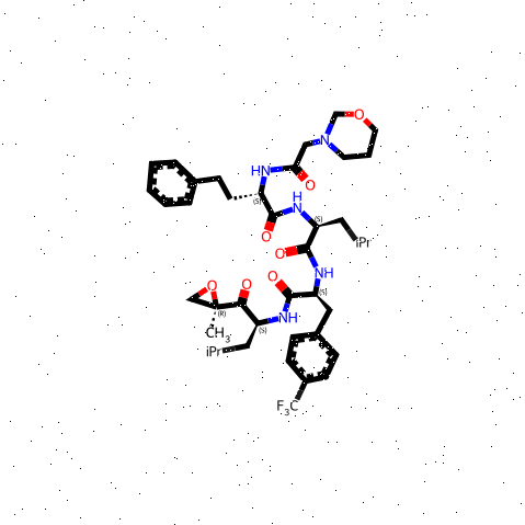 CC(C)C[C@H](NC(=O)[C@H](CCc1ccccc1)NC(=O)CN1CCCOC1)C(=O)N[C@@H](Cc1ccc(C(F)(F)F)cc1)C(=O)N[C@@H](CC(C)C)C(=O)[C@@]1(C)CO1